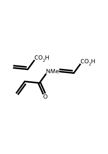 C=CC(=O)NC.C=CC(=O)O.C=CC(=O)O